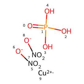 O=P(O)(O)O.O=[N+]([O-])[O-].O=[N+]([O-])[O-].[Cu+2]